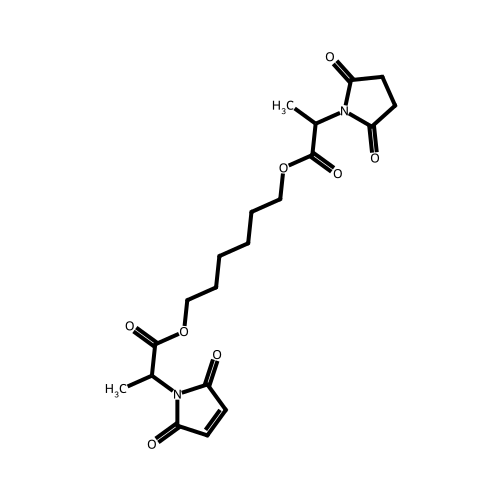 CC(C(=O)OCCCCCCOC(=O)C(C)N1C(=O)CCC1=O)N1C(=O)C=CC1=O